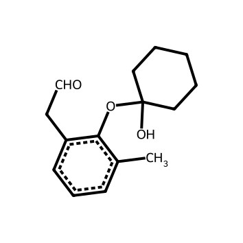 Cc1cccc(CC=O)c1OC1(O)CCCCC1